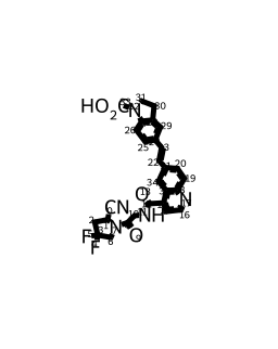 N#CC1CC(F)(F)CN1C(=O)CNC(=O)c1ccnc2ccc(C=Cc3ccc4c(c3)CCN4C(=O)O)cc12